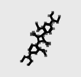 CCN(CC)c1ccc(C2C(O)C(c3ccc(N(CC)CC)cc3OC)C2O)c(OC)c1